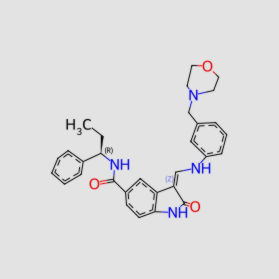 CC[C@@H](NC(=O)c1ccc2c(c1)/C(=C/Nc1cccc(CN3CCOCC3)c1)C(=O)N2)c1ccccc1